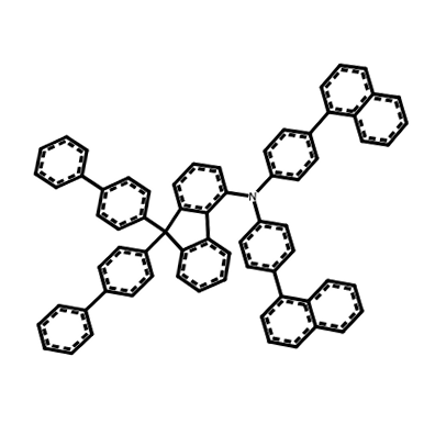 c1ccc(-c2ccc(C3(c4ccc(-c5ccccc5)cc4)c4ccccc4-c4c(N(c5ccc(-c6cccc7ccccc67)cc5)c5ccc(-c6cccc7ccccc67)cc5)cccc43)cc2)cc1